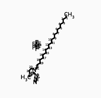 CCCCCCCCCCCCCCCCCCCCCCN1CC[N+](C)=C1N=[N+]=[N-].F[P-](F)(F)(F)(F)F